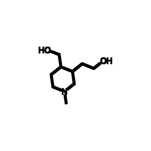 CN1CCC(CO)C(CCO)C1